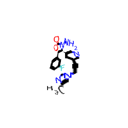 Cc1cn(CC#Cc2cncc([C@@H]3[C@@H](c4cccc(F)c4)OC(=O)N3N)c2)cn1